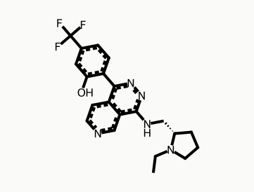 CCN1CCC[C@H]1CNc1nnc(-c2ccc(C(F)(F)F)cc2O)c2ccncc12